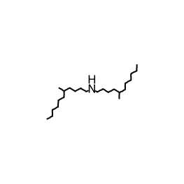 CCCCCCC(C)CCCCNCCCCC(C)CCCCCC